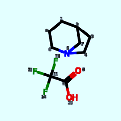 C1CC2CCN(C1)C2.O=C(O)C(F)(F)F